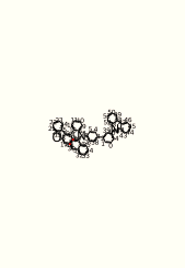 c1cc(-c2ccc(N(c3ccccc3-c3cccc4oc5ccccc5c34)c3cccc4ccccc34)cc2)cc(-n2c3ccccc3c3ccccc32)c1